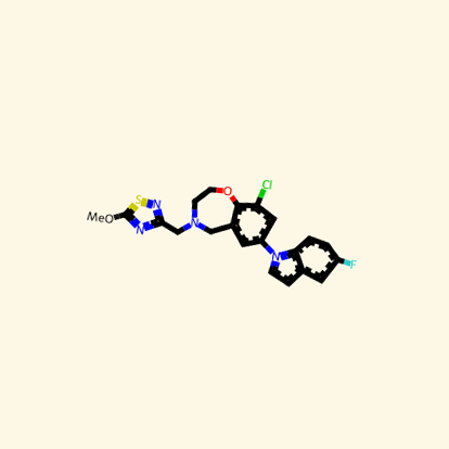 COc1nc(CN2CCOc3c(Cl)cc(-n4ccc5cc(F)ccc54)cc3C2)ns1